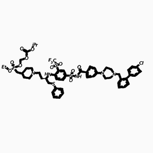 CCOP(=O)(CC1CCN(CC[C@H](CSc2ccccc2)Nc2ccc(S(=O)(=O)NC(=O)c3ccc(N4CCN(Cc5ccccc5-c5ccc(Cl)cc5)CC4)cc3)cc2S(=O)(=O)C(F)(F)F)CC1)OCOC(=O)OC(C)C